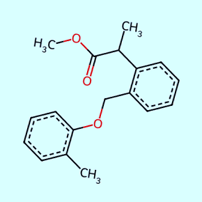 COC(=O)C(C)c1ccccc1COc1ccccc1C